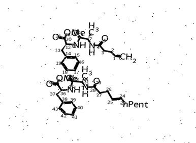 C=CCCC(=O)N[C@@H](C)C(=O)N[C@@H](Cc1ccccc1)C(=O)OC.CCCCCC=CCCC(=O)N[C@@H](C)C(=O)N[C@@H](Cc1ccccc1)C(=O)OC